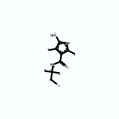 Cc1[nH]c(C=O)c(C)c1C(=O)NC(C)(C)CI